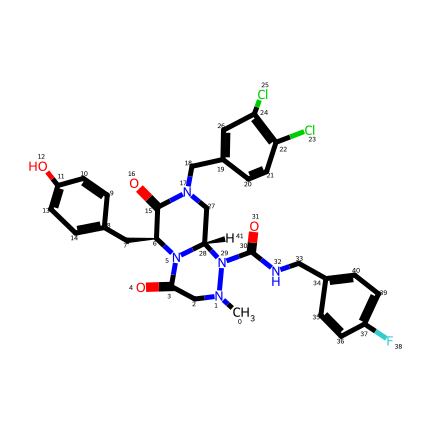 CN1CC(=O)N2[C@@H](Cc3ccc(O)cc3)C(=O)N(Cc3ccc(Cl)c(Cl)c3)C[C@@H]2N1C(=O)NCc1ccc(F)cc1